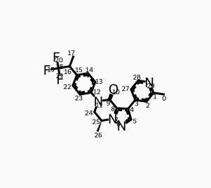 Cc1cc(-c2cnn3c2C(=O)N(c2ccc(C(C)C(F)(F)F)cc2)C[C@@H]3C)ccn1